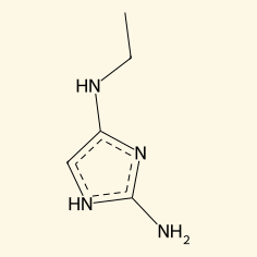 CCNc1c[nH]c(N)n1